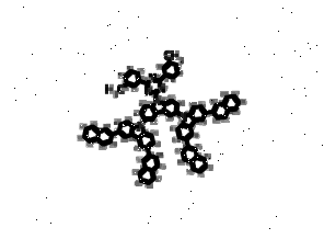 Cc1cccc(-c2nc(-c3cccc(C)c3)nc(-n3c4ccc(-n5c6ccc(-c7ccc8ccccc8c7)cc6c6cc(-c7ccc8ccccc8c7)ccc65)cc4c4cc(-n5c6ccc(-c7ccc8ccccc8c7)cc6c6cc(-c7ccc8ccccc8c7)ccc65)ccc43)n2)c1